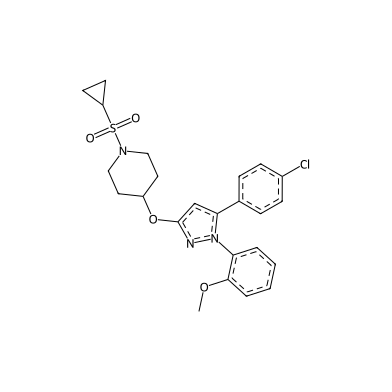 COc1ccccc1-n1nc(OC2CCN(S(=O)(=O)C3CC3)CC2)cc1-c1ccc(Cl)cc1